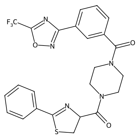 O=C(c1cccc(-c2noc(C(F)(F)F)n2)c1)N1CCN(C(=O)C2CSC(c3ccccc3)=N2)CC1